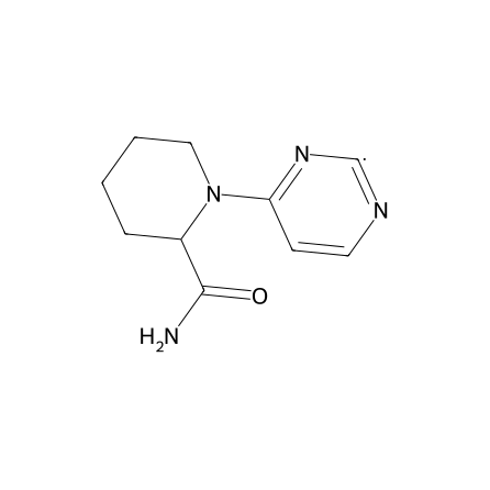 NC(=O)C1CCCCN1c1ccn[c]n1